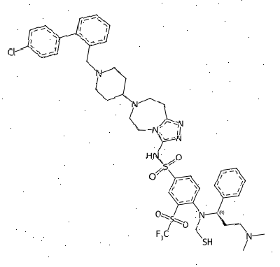 CN(C)CC[C@H](c1ccccc1)N(CS)c1ccc(S(=O)(=O)Nc2nnc3n2CCN(C2CCN(Cc4ccccc4-c4ccc(Cl)cc4)CC2)CC3)cc1S(=O)(=O)C(F)(F)F